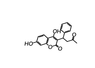 CC(=O)CC(c1ccccc1)c1c(O)c2ccc(O)cc2oc1=O